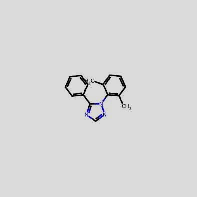 Cc1cccc(C)c1-n1ncnc1-c1ccccc1